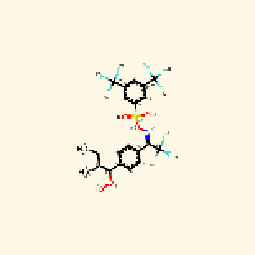 CCC(C)C(OO)c1ccc(/C(=N\OS(=O)(=O)c2cc(C(F)(F)F)cc(C(F)(F)F)c2)C(F)(F)F)cc1